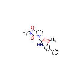 COc1cc(-c2ccccc2)ccc1NC(=O)CN1CCCC2=C1C(=O)N(C)C2=O